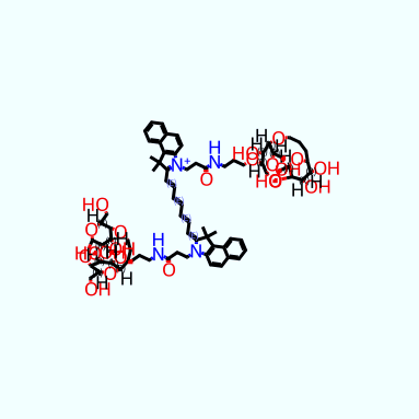 CC1(C)C(/C=C/C=C/C=C/C=C2/N(CCC(=O)NCCCO[C@H]3[C@H]4CCCOC5[C@@H](CO)OC(OC([C@@H](CO)O4)[C@@H]3O)[C@H](O)[C@H]5O)c3ccc4ccccc4c3C2(C)C)=[N+](CCC(=O)NCCCO[C@H]2C3OC4[C@@H](CO)OC(CCCO[C@@H]([C@@H]2O)[C@@H](CO)O3)[C@H](O)[C@H]4O)c2ccc3ccccc3c21